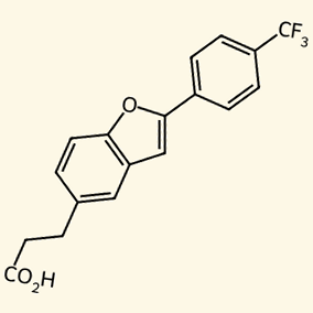 O=C(O)CCc1ccc2oc(-c3ccc(C(F)(F)F)cc3)cc2c1